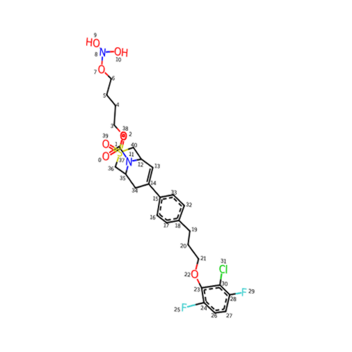 O=C(OCCCCON(O)O)N1C2C=C(c3ccc(CCCOc4c(F)ccc(F)c4Cl)cc3)CC1CS(=O)(=O)C2